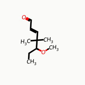 CCC(OC)C(C)(C)C=CC=O